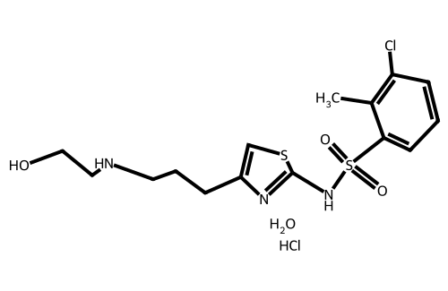 Cc1c(Cl)cccc1S(=O)(=O)Nc1nc(CCCNCCO)cs1.Cl.O